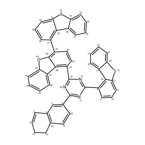 C1=Cc2cc(-c3nc(-c4cccc5sc6ccccc6c45)nc(-c4ccc(-c5cccc6sc7ccccc7c56)c5oc6ccccc6c45)n3)ccc2CC1